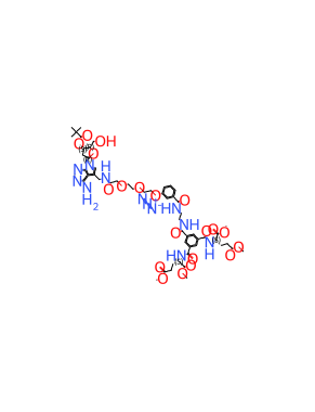 COC(=O)CC[C@H](NC(=O)c1cc(C(=O)NCCNC(=O)c2cccc(OCC(N=[N+]=[N-])OCCOCC(=O)NCc3cn([C@H]4C[C@H](OC(=O)C(C)(C)C)[C@@H](CO)O4)c4ncnc(N)c34)c2)cc(C(=O)N[C@@H](CCC(=O)OC)C(=O)OC)c1)C(=O)OC